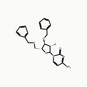 Nc1ccn(C2S[C@H](COCc3ccccc3)[C@@H](OCc3ccccc3)[C@@H]2F)c(=O)n1